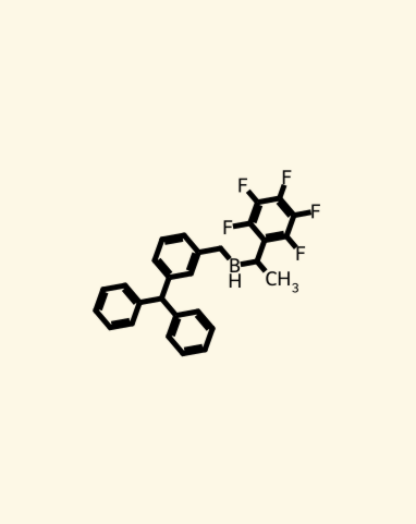 CC(BCc1cccc(C(c2ccccc2)c2ccccc2)c1)c1c(F)c(F)c(F)c(F)c1F